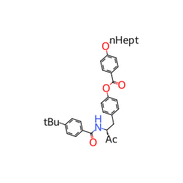 CCCCCCCOc1ccc(C(=O)Oc2ccc(C[C@H](NC(=O)c3ccc(C(C)(C)C)cc3)C(C)=O)cc2)cc1